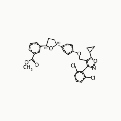 COC(=O)c1cccc([C@H]2CC[C@H](c3ccc(OCc4c(-c5c(Cl)cccc5Cl)noc4C4CC4)cc3)O2)c1